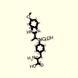 COc1ccc2nc(C(C)Oc3ccc(CC(N)C(=O)O)cc3)[nH]c2c1.Cl.Cl